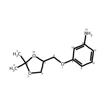 CC1(C)OCC(COc2cccc(N)c2)O1